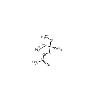 COC([SiH3])(COC(C)=O)OC